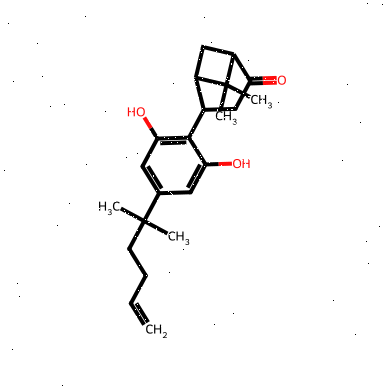 C=CCCC(C)(C)c1cc(O)c(C2CC(=O)C3CC2C3(C)C)c(O)c1